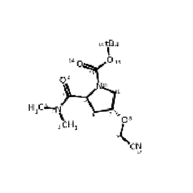 CN(C)C(=O)[C@@H]1C[C@@H](OCC#N)CN1C(=O)OC(C)(C)C